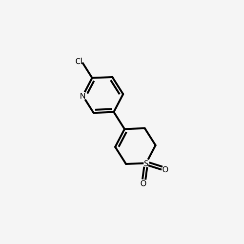 O=S1(=O)CC=C(c2ccc(Cl)nc2)CC1